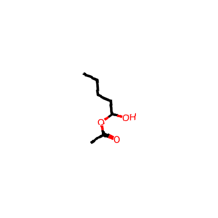 CCCCC(O)OC(C)=O